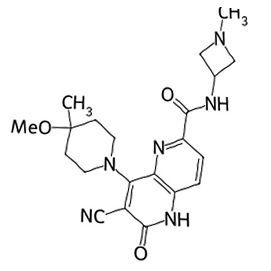 COC1(C)CCN(c2c(C#N)c(=O)[nH]c3ccc(C(=O)NC4CN(C)C4)nc23)CC1